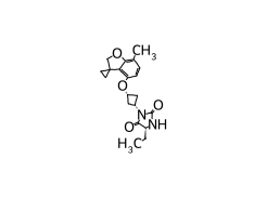 CC[C@@H]1NC(=O)N([C@H]2C[C@@H](Oc3ccc(C)c4c3C3(CC3)CO4)C2)C1=O